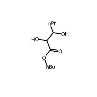 CCCCOC(=O)C(O)C(O)CCC